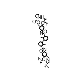 Cc1c(-c2nc3cc(COC(=O)[C@@H]4CCCN4)c(OC(F)F)cc3o2)cccc1-c1cccc(-c2nc3cc(CN4CC(N(C)C)C4)c(OC(F)F)cc3o2)c1C